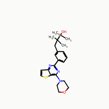 CC(C)(Cc1cccc(-c2nc(N3CCOCC3)c3sccc3n2)c1)[Si](C)(C)O